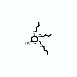 CCCCOC[C@H]1OC(O)C[C@@H](OCCCC)[C@@H]1OCCCC